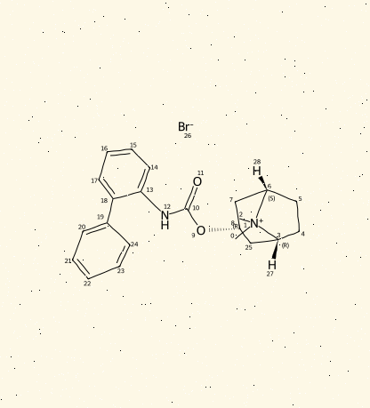 C[N+]1(C)[C@@H]2CC[C@H]1C[C@@H](OC(=O)Nc1ccccc1-c1ccccc1)C2.[Br-]